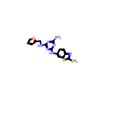 Cc1nc2ccc(Nc3nc(N)nc(NCc4ccco4)n3)cc2s1